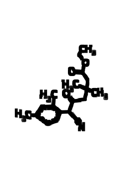 CCOC(=O)CC(C)(C)CC(=O)C(C#N)c1ccc(C)cc1C